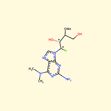 COC(CO)[C@@H](O)[C@@H](F)n1cnc2c(N(C)C)nc(N)nc21